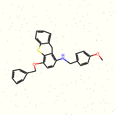 COc1ccc(CNc2ccc(OCc3ccccc3)c3c2Cc2ccccc2S3)cc1